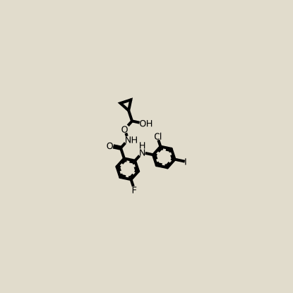 O=C(NOC(O)C1CC1)c1ccc(F)cc1Nc1ccc(I)cc1Cl